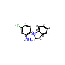 Nc1cc(F)ccc1N1CCc2ccccc21